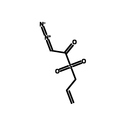 C=CCS(=O)(=O)C(=O)C=[N+]=[N-]